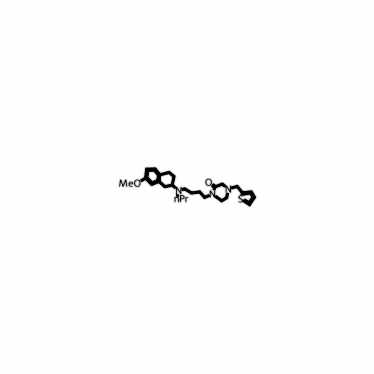 CCCN(CCCCN1CCN(Cc2cccs2)CC1=O)C1CCc2ccc(OC)cc2C1